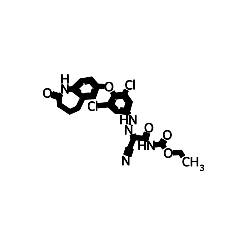 CCOC(=O)NC(=O)C(C#N)=NNc1cc(Cl)c(Oc2ccc3c(c2)CCCC(=O)N3)c(Cl)c1